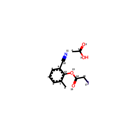 CC(=O)O.Cc1cccc(C#N)c1OC(=O)CI